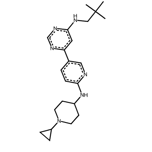 CC(C)(C)CNc1cc(-c2ccc(NC3CCN(C4CC4)CC3)nc2)ncn1